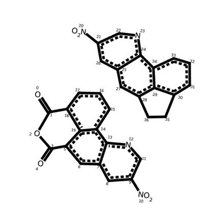 O=C1OC(=O)c2cc3cc([N+](=O)[O-])cnc3c3cccc1c23.O=[N+]([O-])c1cnc2c(c1)cc1c3c(cccc32)CC1